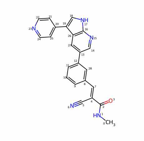 CNC(=O)/C(C#N)=C/c1cccc(-c2cnc3[nH]cc(-c4ccncc4)c3c2)c1